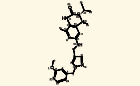 COc1cc(Cn2cc(CNc3cc4c(c(C)n3)NC(=O)[C@H](C(C)C)N4C)cn2)ccn1